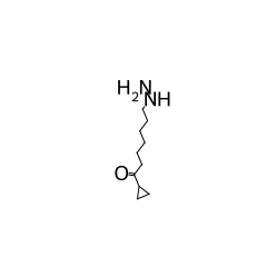 NNCCCCCCC(=O)C1CC1